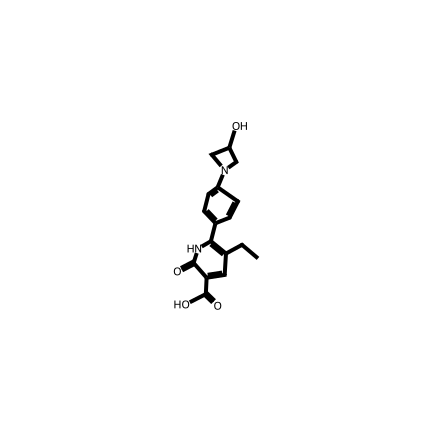 CCc1cc(C(=O)O)c(=O)[nH]c1-c1ccc(N2CC(O)C2)cc1